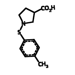 Cc1ccc(SN2CCC(C(=O)O)C2)cc1